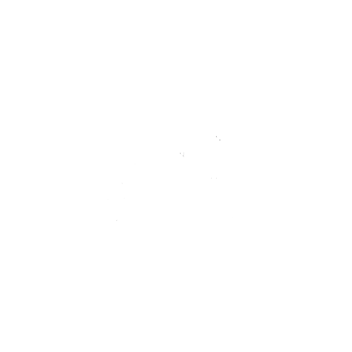 Cc1cc(C2C3CC4CC(C3)CC2C4)c(Cl)cc1-c1cc(OCc2ccccc2)c2c(C)nccc2n1